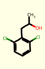 CC(O)[CH]c1c(Cl)cccc1Cl